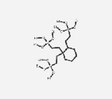 CCO[Si](CCC1CCCCC1(CC[Si](OCC)(OCC)OCC)CC[Si](OCC)(OCC)OCC)(OCC)OCC